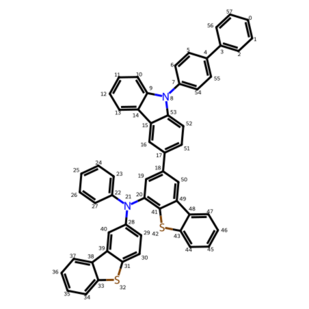 c1ccc(-c2ccc(-n3c4ccccc4c4cc(-c5cc(N(c6ccccc6)c6ccc7sc8ccccc8c7c6)c6sc7ccccc7c6c5)ccc43)cc2)cc1